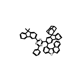 CC1(C)c2ccccc2-c2cc(-c3nc(-c4ccccc4)nc(-c4cc5c(cc4-c4cccc6oc7ccc8ccccc8c7c46)-c4ccccc4C54C5CC6CC(C5)CC4C6)n3)ccc21